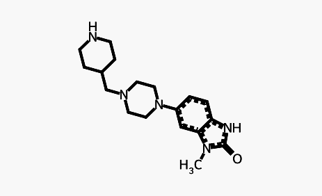 Cn1c(=O)[nH]c2ccc(N3CCN(CC4CCNCC4)CC3)cc21